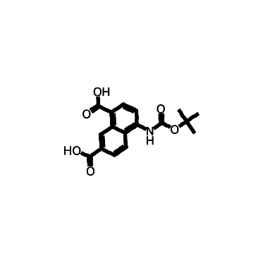 CC(C)(C)OC(=O)Nc1ccc(C(=O)O)c2cc(C(=O)O)ccc12